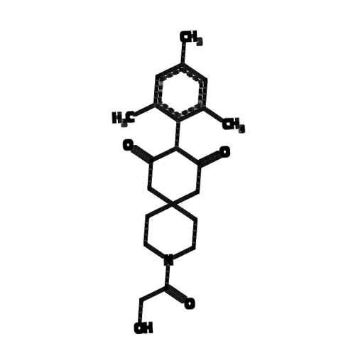 Cc1cc(C)c(C2C(=O)CC3(CCN(C(=O)CO)CC3)CC2=O)c(C)c1